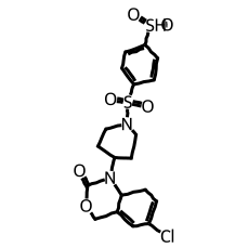 O=C1OCC2=CC(Cl)=CCC2N1C1CCN(S(=O)(=O)c2ccc([SH](=O)=O)cc2)CC1